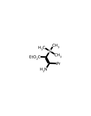 CCOC(=O)C(=C(N)C(C)C)[Si](C)(C)C